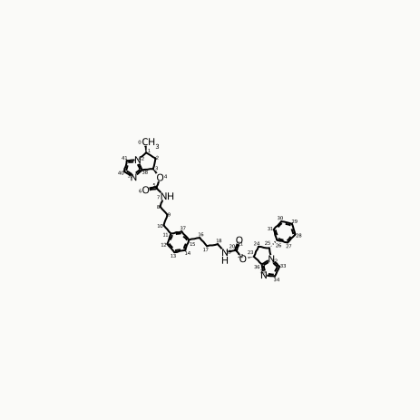 C[C@H]1C[C@@H](OC(=O)NCCCc2cccc(CCCNC(=O)O[C@@H]3C[C@H](c4ccccc4)n4ccnc43)c2)c2nccn21